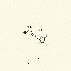 Cl.N=C(N)COCCc1cc(F)ccc1F